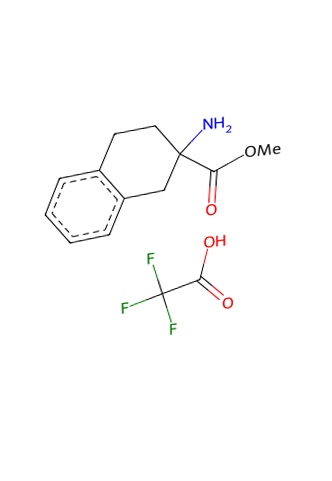 COC(=O)C1(N)CCc2ccccc2C1.O=C(O)C(F)(F)F